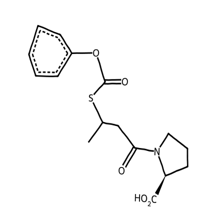 CC(CC(=O)N1CCC[C@H]1C(=O)O)SC(=O)Oc1ccccc1